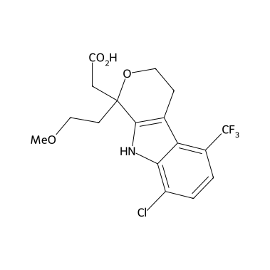 COCCC1(CC(=O)O)OCCc2c1[nH]c1c(Cl)ccc(C(F)(F)F)c21